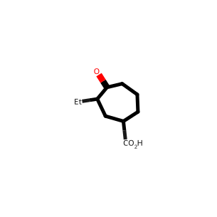 CCC1CC(C(=O)O)CCCC1=O